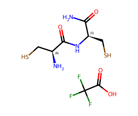 NC(=O)[C@@H](CS)NC(=O)[C@@H](N)CS.O=C(O)C(F)(F)F